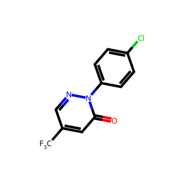 O=c1cc(C(F)(F)F)cnn1-c1ccc(Cl)cc1